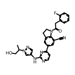 CC(CO)n1cc(Nc2nccc(-c3cc(C#N)c4c(c3)CCN4C(=O)Cc3ccccc3F)n2)cn1